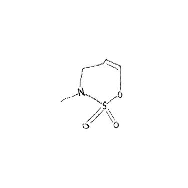 CN1CC=COS1(=O)=O